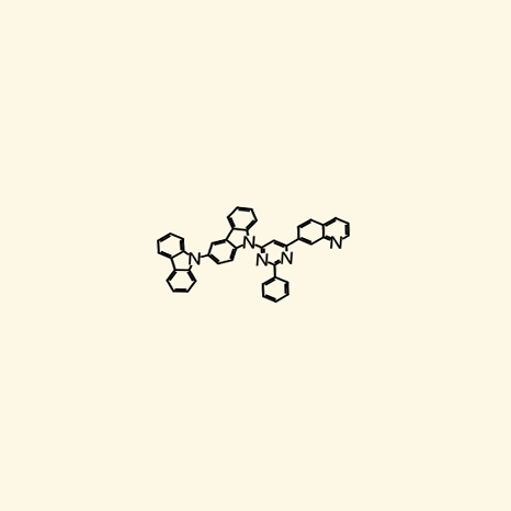 c1ccc(-c2nc(-c3ccc4cccnc4c3)cc(-n3c4ccccc4c4cc(-n5c6ccccc6c6ccccc65)ccc43)n2)cc1